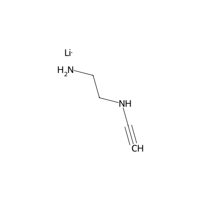 C#CNCCN.[Li]